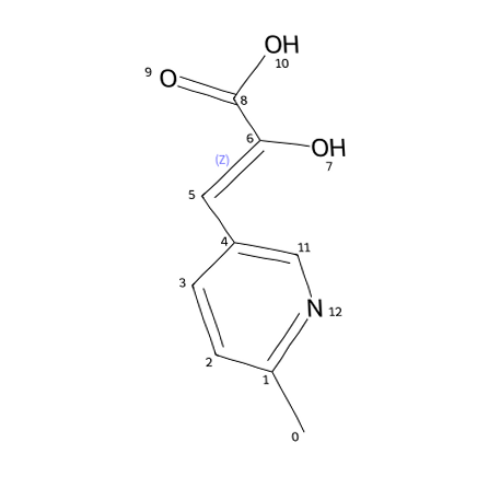 Cc1ccc(/C=C(\O)C(=O)O)cn1